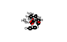 Cl.[2H]c1c([2H])c([2H])c(-c2cccc(-c3c([2H])c([2H])c([2H])c([2H])c3[2H])c2[N+]2(C)CN(c3cccc(Oc4ccc5c6ccc(Cl)cc6n(-c6cc(C(C)(C)C)ccn6)c5c4)c3)c3ccccc32)c([2H])c1[2H].[Cl-]